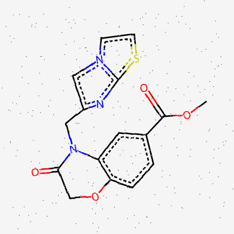 COC(=O)c1ccc2c(c1)N(Cc1cn3ccsc3n1)C(=O)CO2